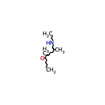 C=CCCCC(=O)C(C)=CCCC(C)=CCNCCC=C